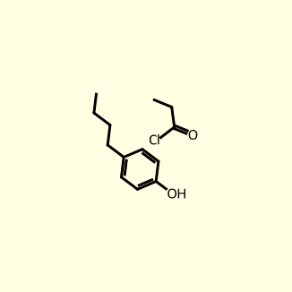 CCC(=O)Cl.CCCCc1ccc(O)cc1